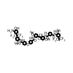 [2H]Oc1ccc(C(C)(C(F)(F)F)C(F)(F)F)cc1NC(=O)c1cccc(C(=O)Nc2cc(C(c3ccc(O[2H])c(NC(=O)c4ccc(Oc5ccc(C(=O)Nc6cc(C(c7ccc(O)c(N)c7)(C(F)(F)F)C(F)(F)F)ccc6O[2H])cc5)cc4)c3)(C(F)(F)F)C(F)(F)F)ccc2O)c1